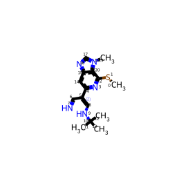 CSc1nc(/C(C=N)=C/NC(C)(C)C)cc2ncn(C)c12